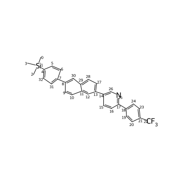 C[Si](C)(C)c1ccc(-c2ccc3cc(-c4ccc(-c5ccc(C(F)(F)F)cc5)nc4)ccc3c2)cc1